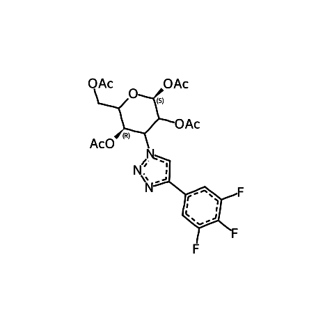 CC(=O)OCC1O[C@@H](OC(C)=O)C(OC(C)=O)C(n2cc(-c3cc(F)c(F)c(F)c3)nn2)[C@H]1OC(C)=O